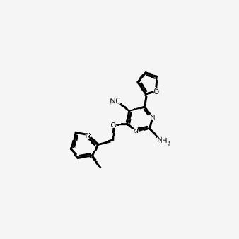 Cc1cccnc1COc1nc(N)nc(-c2ccco2)c1C#N